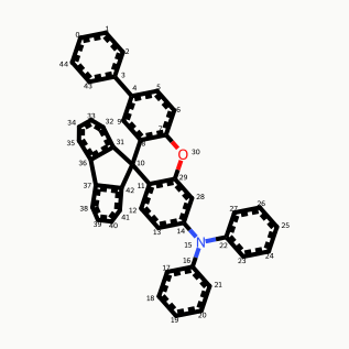 c1ccc(-c2ccc3c(c2)C2(c4ccc(N(c5ccccc5)c5ccccc5)cc4O3)c3ccccc3-c3ccccc32)cc1